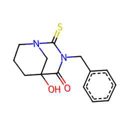 O=C1N(Cc2ccccc2)C(=S)N2CCCC1(O)C2